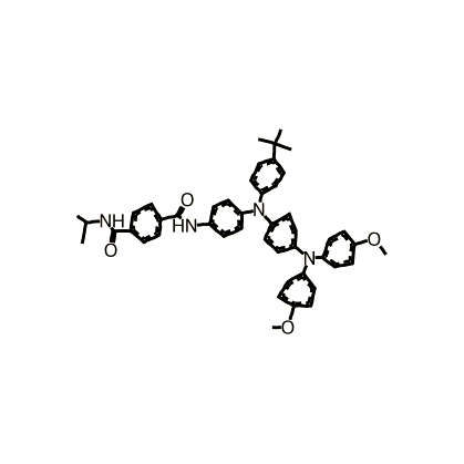 COc1ccc(N(c2ccc(OC)cc2)c2ccc(N(c3ccc(NC(=O)c4ccc(C(=O)NC(C)C)cc4)cc3)c3ccc(C(C)(C)C)cc3)cc2)cc1